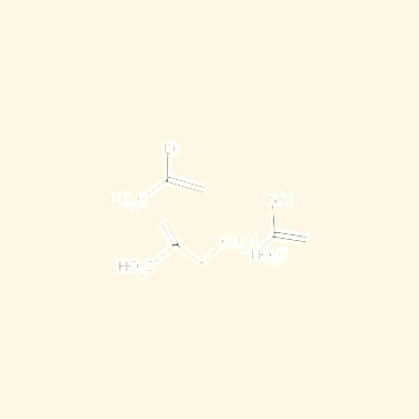 C=C(CC(=O)O)C(=O)O.C=C(CC)C(=O)O.C=C(CCCC)C(=O)O